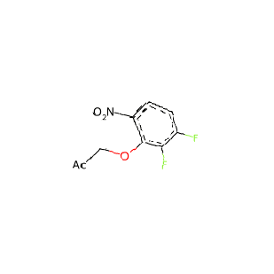 CC(=O)COc1c([N+](=O)[O-])ccc(F)c1F